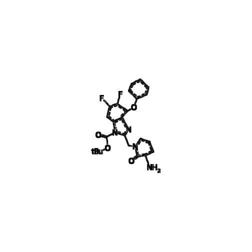 CC(C)(C)OC(=O)n1c(Cn2cccc(N)c2=O)nc2c(Oc3ccccc3)c(F)c(F)cc21